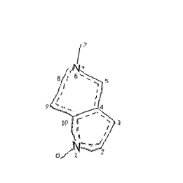 Cn1ccc2c[n+](C)ccc21